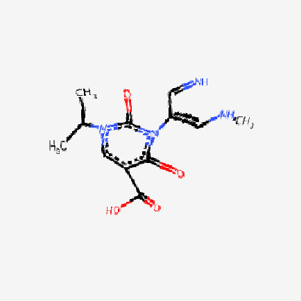 CN/C=C(\C=N)n1c(=O)c(C(=O)O)cn(C(C)C)c1=O